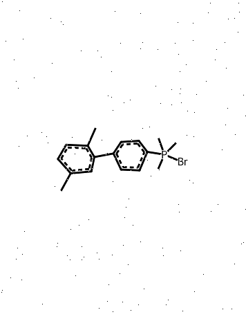 Cc1ccc(C)c(-c2ccc(P(C)(C)(C)Br)cc2)c1